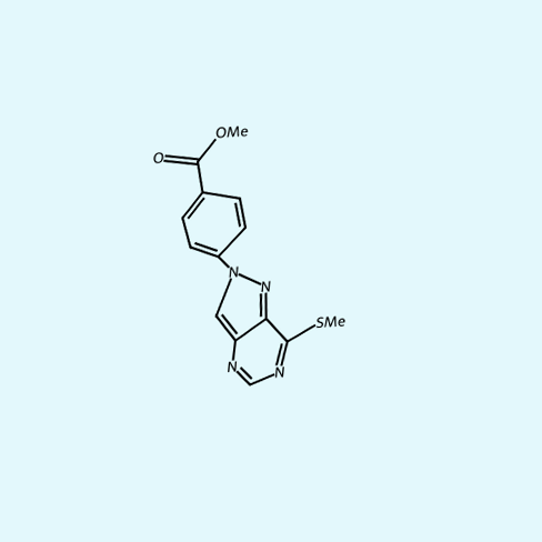 COC(=O)c1ccc(-n2cc3ncnc(SC)c3n2)cc1